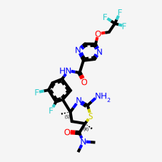 CN(C)C(=O)[C@@]1(C)C[C@@](C)(c2cc(NC(=O)c3cnc(OCC(F)(F)F)cn3)cc(F)c2F)N=C(N)S1